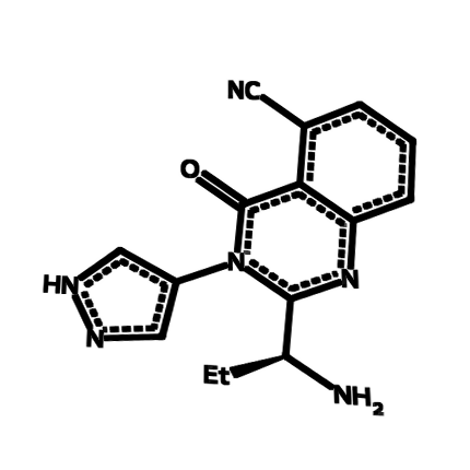 CC[C@H](N)c1nc2cccc(C#N)c2c(=O)n1-c1cn[nH]c1